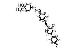 CC1(O)CCN(CCOc2ccc(C#Cc3ncc(-c4ccc(Cl)cc4)cc3Cl)cc2)CC1